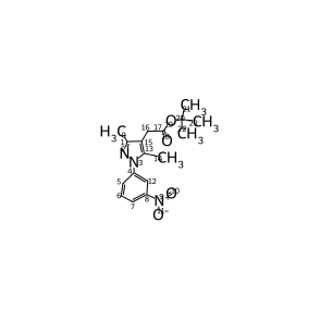 Cc1nn(-c2cccc([N+](=O)[O-])c2)c(C)c1CC(=O)OC(C)(C)C